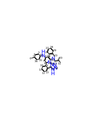 Cc1ccc(Nc2cc(-c3ccccc3-c3nnn[nH]3)nc(N(Cc3ccccc3)CC(C)C)c2)cc1